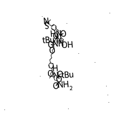 Cc1ncsc1-c1ccc(CNC(=O)[C@@H]2C[C@H](O)CN2C(=O)C(NC(=O)COCCCCc2ccc(COC(C)C(CCC(N)=O)NC(=O)OC(C)(C)C)cc2)C(C)(C)C)cc1